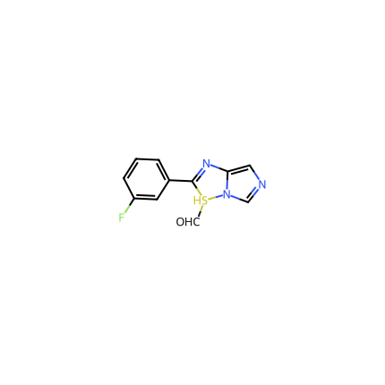 O=C[SH]1C(c2cccc(F)c2)=Nc2cncn21